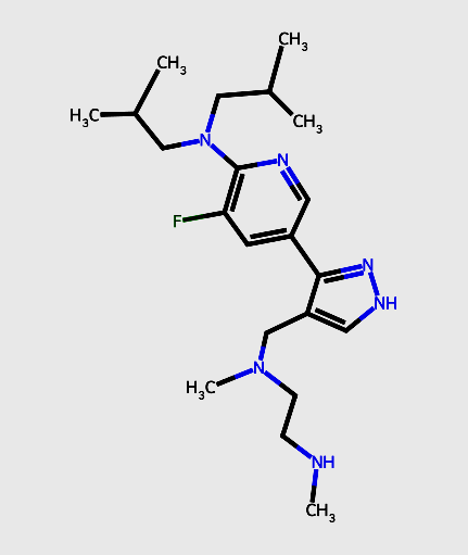 CNCCN(C)Cc1c[nH]nc1-c1cnc(N(CC(C)C)CC(C)C)c(F)c1